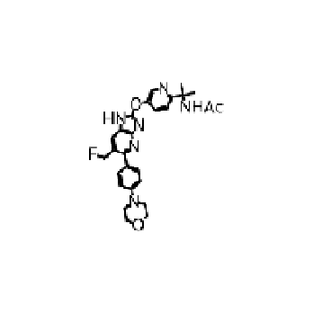 CC(=O)NC(C)(C)c1ccc(Oc2nc3nc(-c4ccc(N5CCOCC5)cc4)c(CF)cc3[nH]2)cn1